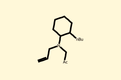 C=CCN(CC(C)=O)C1CCCCC1CCCC